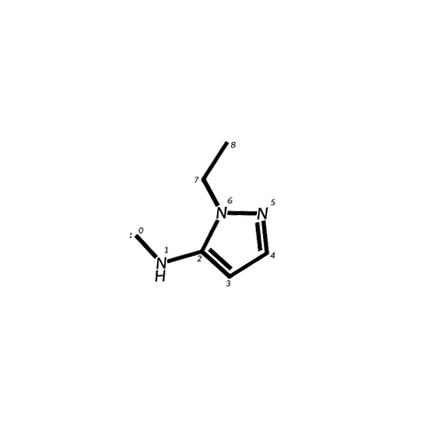 [CH]Nc1ccnn1CC